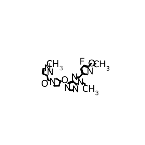 CCn1c(-c2cnc(OC)c(F)c2)nc2c(OC3CCN(C(=O)c4ccn(C)n4)C3)ncnc21